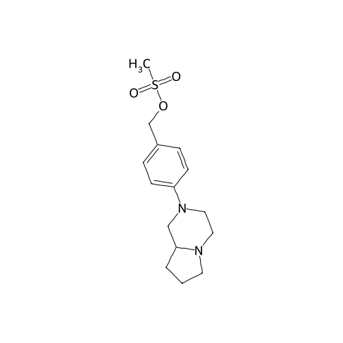 CS(=O)(=O)OCc1ccc(N2CCN3CCCC3C2)cc1